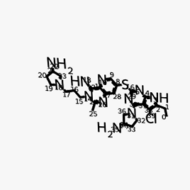 CCc1[nH]c2nc(Sc3cnc4c(=N)n(CCCN5CCC(N)C5)c(C)nc4c3)nc(N3CC[C@@H](N)C3)c2c1Cl